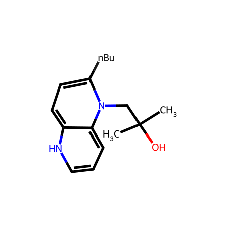 CCCCC1=CC=C2NC=CC=C2N1CC(C)(C)O